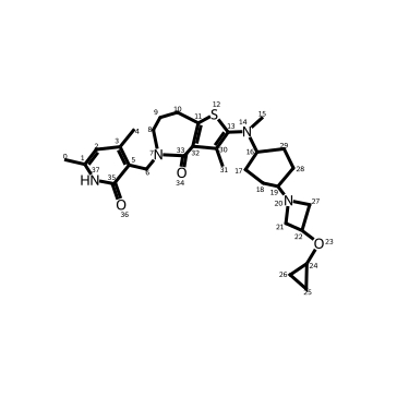 Cc1cc(C)c(CN2CCCc3sc(N(C)C4CCC(N5CC(OC6CC6)C5)CC4)c(C)c3C2=O)c(=O)[nH]1